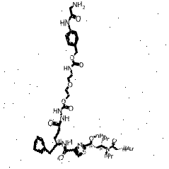 CCCO[C@H](C[C@H](C(C)C)N(CCC)C(=O)C[C@@H](C)CC)c1nc(C(=O)N[C@H](CCC(=O)NNC(=O)OCCOCCNC(=O)OCc2ccc(NC(=O)CN)cc2)Cc2ccccc2)cs1